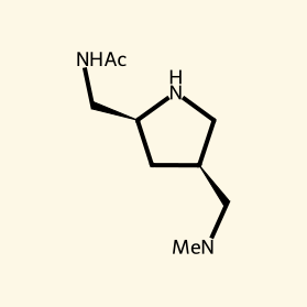 CNC[C@@H]1CN[C@H](CNC(C)=O)C1